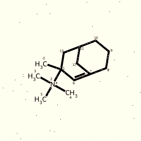 CC1([N+](C)(C)C)C=C2CCCC(C2)C1